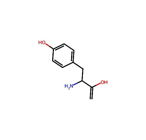 C=C(O)C(N)Cc1ccc(O)cc1